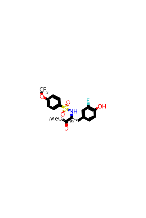 COC(=O)[C@@H](Cc1ccc(O)c(F)c1)NS(=O)(=O)c1ccc(OC(F)(F)F)cc1